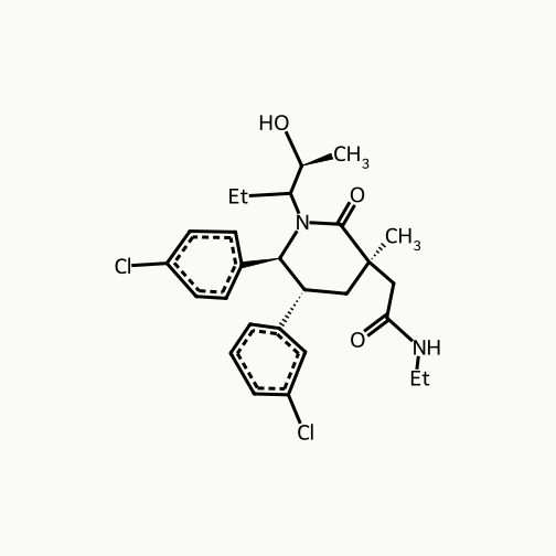 CCNC(=O)C[C@@]1(C)C[C@H](c2cccc(Cl)c2)[C@@H](c2ccc(Cl)cc2)N(C(CC)[C@H](C)O)C1=O